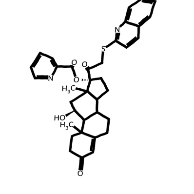 CC12CCC(=O)C=C1CCC1C2[C@@H](O)CC2(C)C1CC[C@]2(OC(=O)c1ccccn1)C(=O)CSc1ccc2ccccc2n1